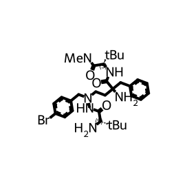 CNC(=O)[C@@H](NC(=O)C(N)(CCN(Cc1ccc(Br)cc1)NC(=O)[C@@H](N)C(C)(C)C)Cc1ccccc1)C(C)(C)C